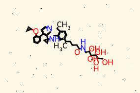 CCc1ccc(C(C)CCCC(=O)NC[C@H](O)[C@@H](O)[C@H](O)[C@H](O)CO)cc1CNC1(c2cnccc2-c2ccccc2OC2CC2)CC1